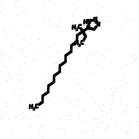 CCCCCCCCCCCCCCCC(C)(CC)N1CN=NN1